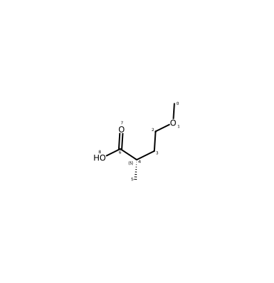 COCC[C@H](C)C(=O)O